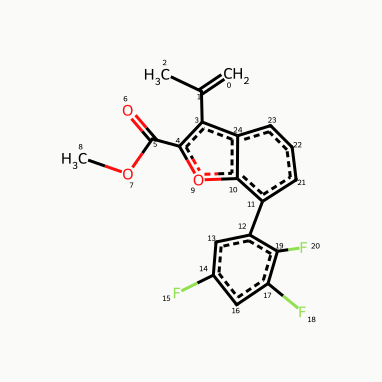 C=C(C)c1c(C(=O)OC)oc2c(-c3cc(F)cc(F)c3F)cccc12